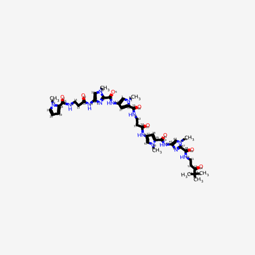 Cn1cc(NC(=O)c2nc(NC(=O)CCNC(=O)c3cccn3C)cn2C)cc1C(=O)NCCC(=O)Nc1cc(C(=O)Nc2cn(C)c(C(=O)NCCC(=O)C(C)(C)C)n2)n(C)c1